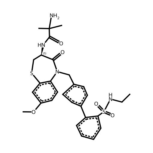 CCNS(=O)(=O)c1ccccc1-c1ccc(CN2C(=O)[C@H](NC(=O)C(C)(C)N)CSc3cc(OC)ccc32)cc1